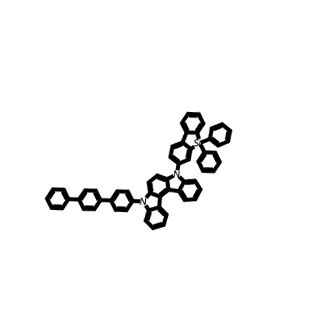 c1ccc(-c2ccc(-c3ccc(-n4c5ccccc5c5c6c7ccccc7n(-c7ccc8c(c7)[Si](c7ccccc7)(c7ccccc7)c7ccccc7-8)c6ccc54)cc3)cc2)cc1